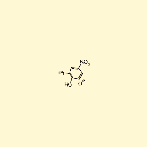 C=O.CCCc1cc([N+](=O)[O-])ccc1O